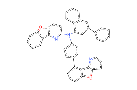 c1ccc(-c2cc(N(c3ccc(-c4cccc5oc6cccnc6c45)cc3)c3ccc4oc5ccccc5c4n3)c3ccccc3c2)cc1